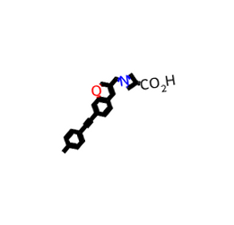 Cc1ccc(C#Cc2ccc3c(c2)OCC(CN2CC(C(=O)O)C2)=C3)cc1